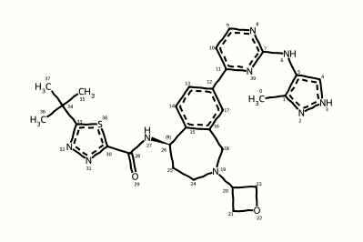 Cc1n[nH]cc1Nc1nccc(-c2ccc3c(c2)CN(C2COC2)CC[C@H]3NC(=O)c2nnc(C(C)(C)C)s2)n1